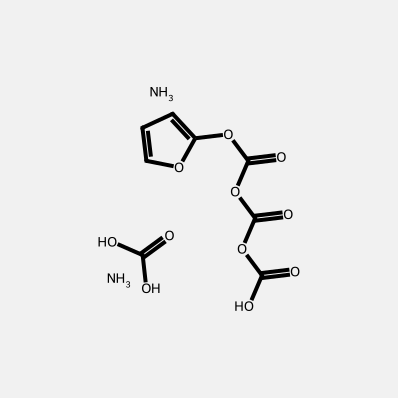 N.N.O=C(O)O.O=C(O)OC(=O)OC(=O)Oc1ccco1